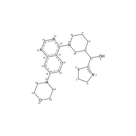 OC(C1=NCCS1)C1CCCN(c2ncnc3cc(N4CCOCC4)ccc23)C1